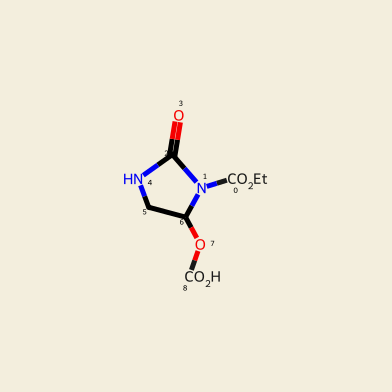 CCOC(=O)N1C(=O)NCC1OC(=O)O